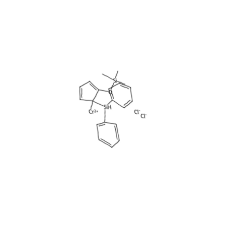 C[Si](C)(C)OC1=CC=C[C]1([Cr+2])[SiH](c1ccccc1)c1ccccc1.[Cl-].[Cl-]